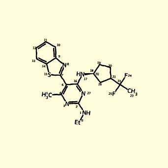 CCNc1nc(C)c(-c2nc3ccccc3s2)c(N[C@H]2CCC(C(C)(F)F)C2)n1